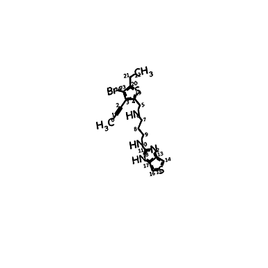 CC#Cc1c(CNCCCNc2nc3cscc3[nH]2)sc(CC)c1Br